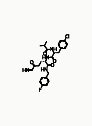 CC(C)C(=O)N[C@@H](Cc1ccc(Cl)cc1)C(=O)N[C@@H](CCC(=O)C=N)C(=O)NCc1ccc(F)cc1